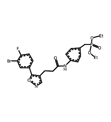 CCOP(=O)(Cc1ccc(NC(=O)CCc2cnoc2-c2ccc(F)c(Br)c2)cc1)OCC